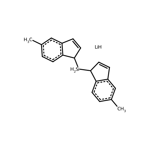 Cc1ccc2c(c1)C=CC2[SiH2]C1C=Cc2cc(C)ccc21.[LiH]